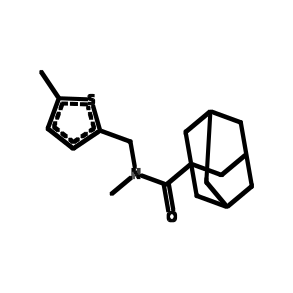 Cc1ccc(CN(C)C(=O)C23CC4CC(CC(C4)C2)C3)s1